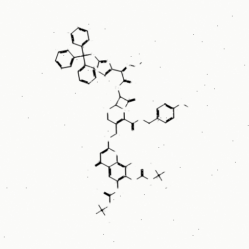 CO/N=C(\C(=O)NC1C(=O)N2C(C(=O)OCc3ccc(OC)cc3)=C(CSc3cc(=O)c4cc(OC(=O)OC(C)(C)C)c(OC(=O)OC(C)(C)C)c(Cl)c4s3)CS[C@@H]12)c1csc(NC(c2ccccc2)(c2ccccc2)c2ccccc2)n1